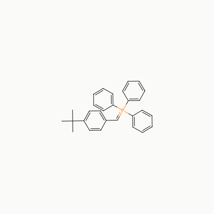 CC(C)(C)c1ccc(C=P(c2ccccc2)(c2ccccc2)c2ccccc2)cc1